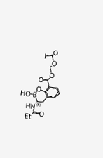 CCC(=O)N[C@H]1Cc2cccc(C(=O)OCOC(=O)I)c2OB1O